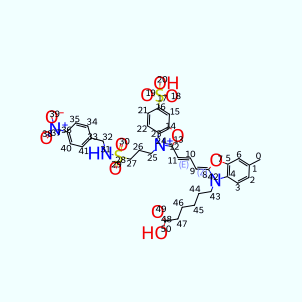 Cc1ccc2c(c1)O/C(=C\C=C\c1oc3cc(S(=O)(=O)O)ccc3[n+]1CCCS(=O)(=O)NCc1ccc([N+](=O)[O-])cc1)N2CCCCCC(=O)O